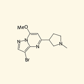 COc1cc(C2CCN(C)C2)nc2c(Br)cnn12